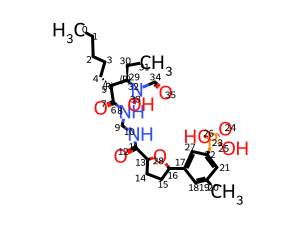 CCCCC[C@@H](C(=O)NCNC(=O)C1CCC(c2cc(C)cc(P(=O)(O)O)c2)O1)[C@@H](CC)N(O)C=O